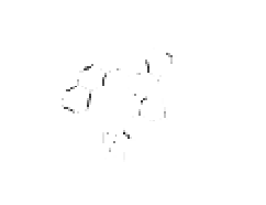 CC(C)CC(CC(=O)NO)C(=O)N[C@@H](Cc1ccc2ccccc2c1)C(=O)N[C@@H](C)C(=O)O